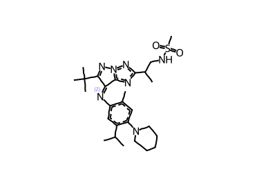 Cc1cc(N2CCCCC2)c(C(C)C)cc1/N=C1/C(C(C)(C)C)=Nn2nc(C(C)CNS(C)(=O)=O)nc21